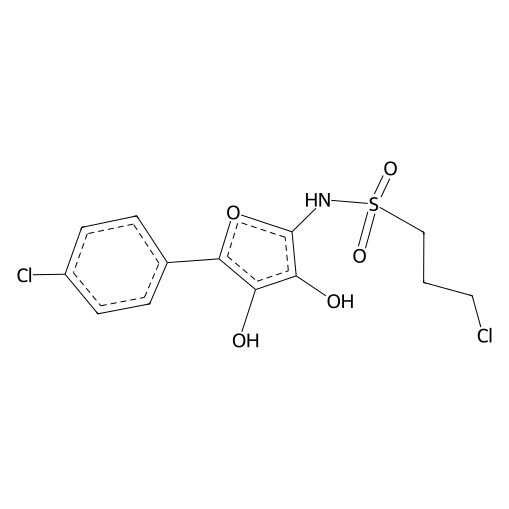 O=S(=O)(CCCCl)Nc1oc(-c2ccc(Cl)cc2)c(O)c1O